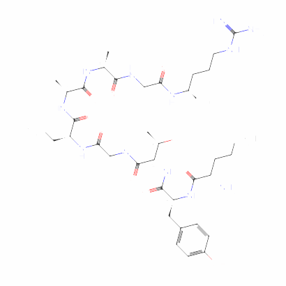 C[C@H](NC(=O)[C@H](C)NC(=O)[C@H](CC(=O)O)NC(=O)CNC(=O)[C@@H](NC(=O)[C@H](Cc1ccc(O)cc1)NC(=O)[C@@H](N)CCC(=O)O)[C@@H](C)O)C(=O)NCC(=O)N[C@@H](CCCNC(=N)N)C(=O)O